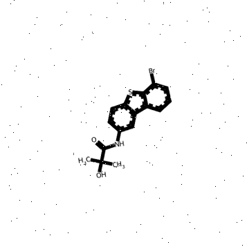 CC(C)(O)C(=O)Nc1ccc2sc3c(Br)cccc3c2c1